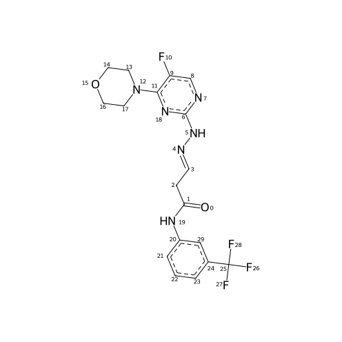 O=C(C/C=N/Nc1ncc(F)c(N2CCOCC2)n1)Nc1cccc(C(F)(F)F)c1